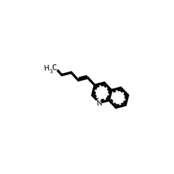 CCC/C=C/c1cnc2ccccc2c1